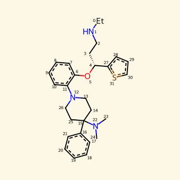 CCNCC[C@@H](Oc1ccccc1N1CCC(c2ccccc2)(N(C)C)CC1)c1cccs1